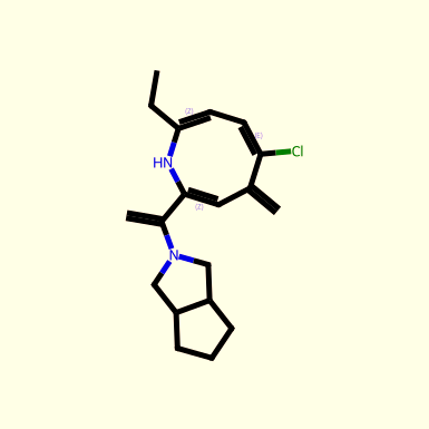 C=C1/C=C(/C(=C)N2CC3CCCC3C2)N/C(CC)=C\C=C/1Cl